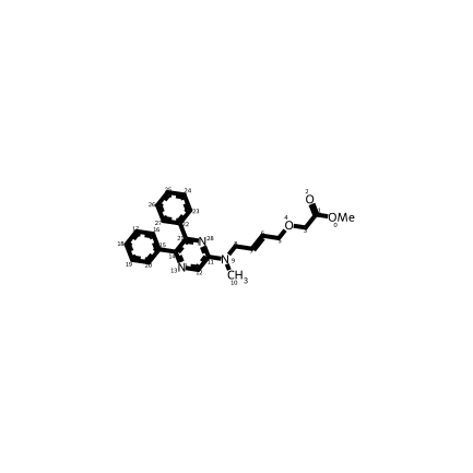 COC(=O)COC/C=C/CN(C)c1cnc(-c2ccccc2)c(-c2ccccc2)n1